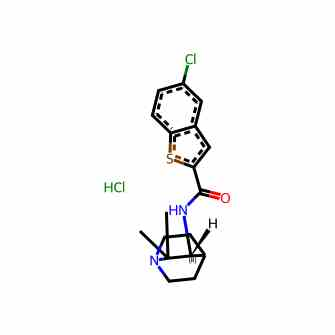 CC1(C)[C@H](NC(=O)c2cc3cc(Cl)ccc3s2)C2CCN1CC2.Cl